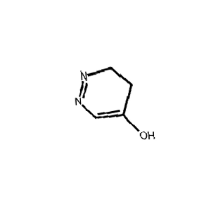 OC1=CN=NCC1